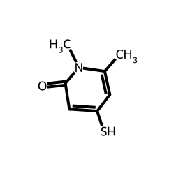 Cc1cc(S)cc(=O)n1C